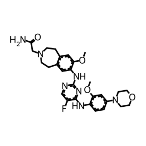 COc1cc2c(cc1Nc1ncc(F)c(Nc3ccc(N4CCOCC4)cc3OC)n1)CCN(CC(N)=O)CC2